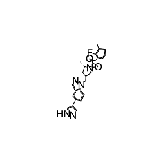 Cc1cccc(S(=O)(=O)N2CC(Cn3ncc4cc(-c5cn[nH]c5)ccc43)C[C@@H]2C)c1F